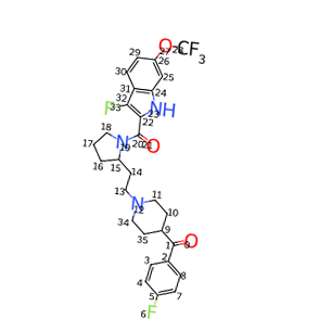 O=C(c1ccc(F)cc1)C1CCN(CCC2CCCN2C(=O)c2[nH]c3cc(OC(F)(F)F)ccc3c2F)CC1